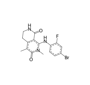 Cc1c2c(c(Nc3ccc(Br)cc3F)n(C)c1=O)C(=O)NCC2